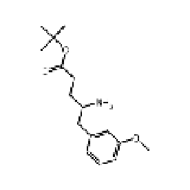 COc1cccc(CC(N)CCC(=O)OC(C)(C)C)c1